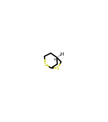 C1C[C@H]2CSC(C2)S1